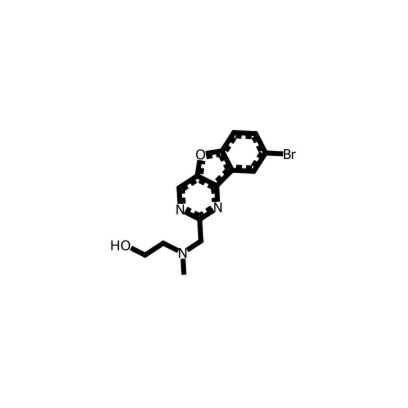 CN(CCO)Cc1ncc2oc3ccc(Br)cc3c2n1